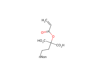 C=CC(=O)OC(CCCCCCCCCCC)(C(=O)O)C(=O)O